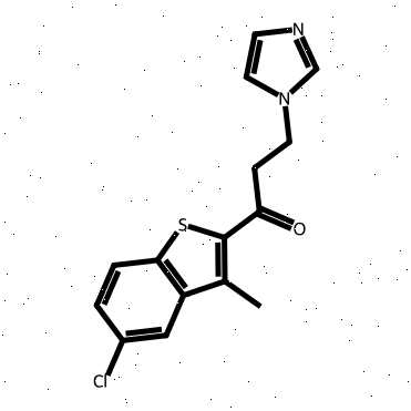 Cc1c(C(=O)CCn2ccnc2)sc2ccc(Cl)cc12